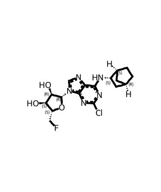 O[C@@H]1[C@H](O)[C@@H](CF)O[C@H]1n1cnc2c(N[C@H]3C[C@@H]4CC[C@H]3C4)nc(Cl)nc21